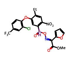 CCc1cc([N+](=O)[O-])c([PH](=O)ON=C(C(=O)OC)c2ccco2)cc1Oc1ccc(C(F)(F)F)cc1Cl